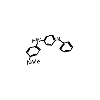 CNc1ccc(Nc2ccc(Nc3ccccc3)cc2)cc1